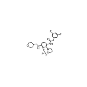 O=C(Cc1cc(F)cc(F)c1)Nc1ccc(NCC2CCOCC2)nc1N1CCC[C@@H]1C(F)(F)F